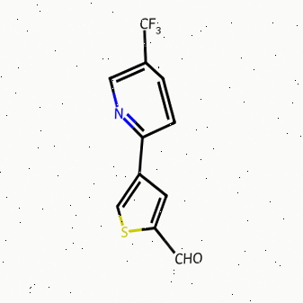 O=Cc1cc(-c2ccc(C(F)(F)F)cn2)cs1